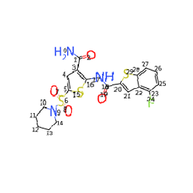 NC(=O)c1cc(S(=O)(=O)N2CCCCC2)sc1NC(=O)c1cc2c(F)cccc2s1